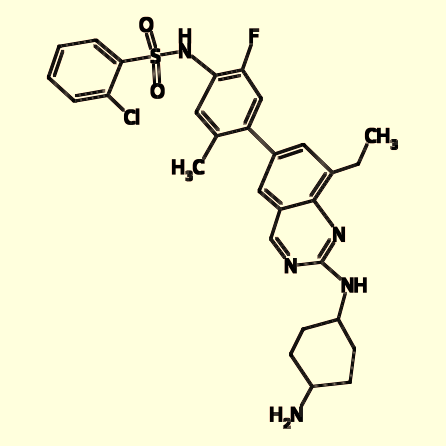 CCc1cc(-c2cc(F)c(NS(=O)(=O)c3ccccc3Cl)cc2C)cc2cnc(NC3CCC(N)CC3)nc12